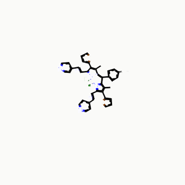 CC1=C(c2cccs2)C(/C=C/c2ccncc2)=[N+]2C1=C(c1ccc(C(F)(F)F)cc1)c1c(C)c(-c3cccs3)c(/C=C/c3ccncc3)n1[B-]2(F)F